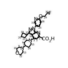 O=C(O)c1cc(N2CCC(N3CCOCC3)CC2)c2c(C3CCC3)nn(-c3ccc(OCCF)nc3)c2n1